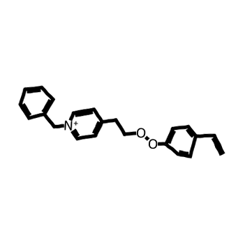 C=Cc1ccc(OOCCc2cc[n+](Cc3ccccc3)cc2)cc1